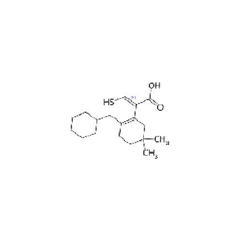 CC1(C)CCC(CC2CCCCC2)=C(/C(=C\S)C(=O)O)C1